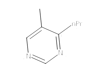 CCCc1ncncc1C